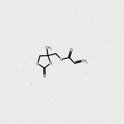 C=CC(=O)OCC1(C)COC(=O)O1